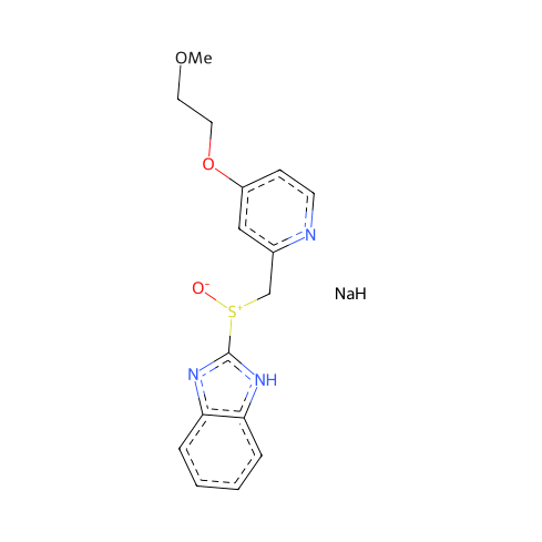 COCCOc1ccnc(C[S+]([O-])c2nc3ccccc3[nH]2)c1.[NaH]